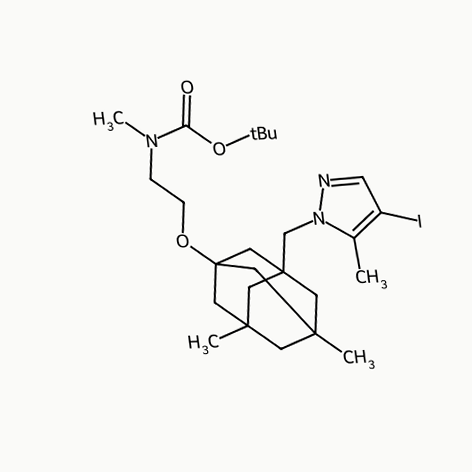 Cc1c(I)cnn1CC12CC3(C)CC(C)(C1)CC(OCCN(C)C(=O)OC(C)(C)C)(C3)C2